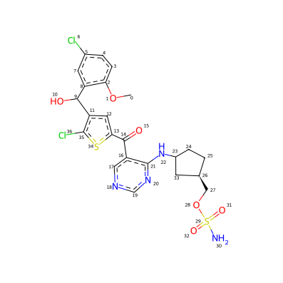 COc1ccc(Cl)cc1C(O)c1cc(C(=O)c2cncnc2NC2CC[C@@H](COS(N)(=O)=O)C2)sc1Cl